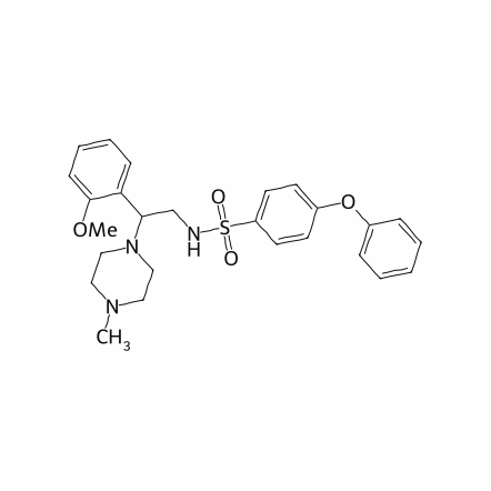 COc1ccccc1C(CNS(=O)(=O)c1ccc(Oc2ccccc2)cc1)N1CCN(C)CC1